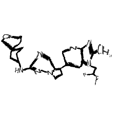 Cc1nc2ncc(-c3ccn4nc(NC5CC6(COC6)C5)ncc34)cc2n1CC(F)F